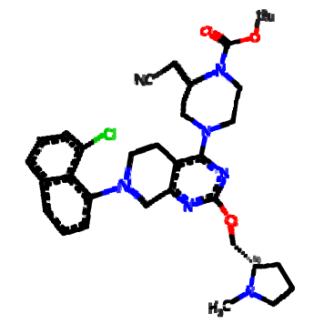 CN1CCC[C@H]1COc1nc2c(c(N3CCN(C(=O)OC(C)(C)C)C(CC#N)C3)n1)CCN(c1cccc3cccc(Cl)c13)C2